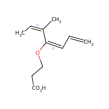 C=C/C=C(OCCC(=O)O)\C(C)=C/C